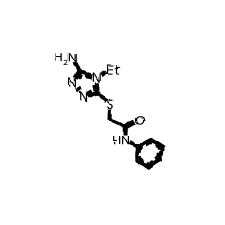 CCn1c(N)nnc1SCC(=O)Nc1ccccc1